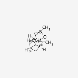 CB1O[C@@H]2C[C@@H]3C[C@@H](C3(C)C)[C@]2(C)O1